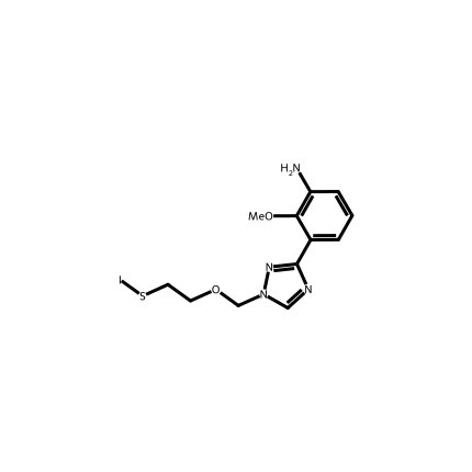 COc1c(N)cccc1-c1ncn(COCCSI)n1